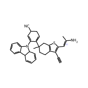 C#Cc1c(/C=C(\C)N)sc2c1CCC(C)(C1=CCC(C#N)C=C1N1c3ccccc3C3C=CC=CC31)C2